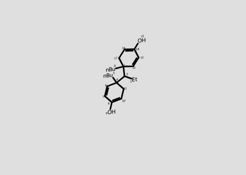 CCCCC1(C(CC)C2(CCCC)C=CC(O)=CC2)C=CC(O)=CC1